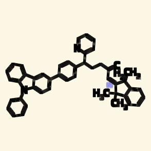 C=C(/C=C1\C(=C)c2ccccc2C1(C)C)CCC(c1ccc(-c2ccc3c(c2)c2ccccc2n3-c2ccccc2)cc1)c1ccccn1